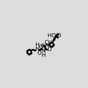 CN1C(=O)[C@H](NC(=O)C(=O)NCCc2ccccc2)COc2ccc(C#CC3(O)COC3)cc21